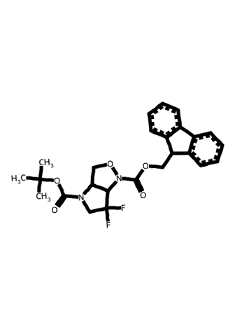 CC(C)(C)OC(=O)N1CC(F)(F)C2C1CON2C(=O)OCC1c2ccccc2-c2ccccc21